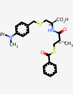 CC(C)N(C)c1ccc(CSC[C@H](NC(=O)[C@H](C)CSC(=O)c2ccccc2)C(=O)O)cc1